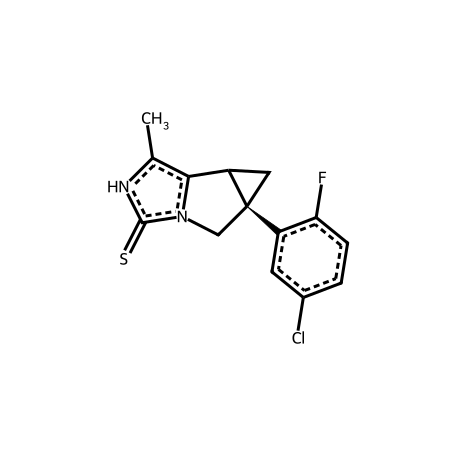 Cc1[nH]c(=S)n2c1C1C[C@]1(c1cc(Cl)ccc1F)C2